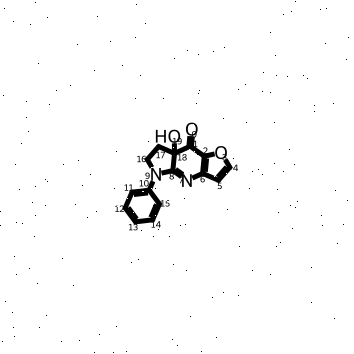 O=C1c2occc2N=C2N(c3ccccc3)CCC12O